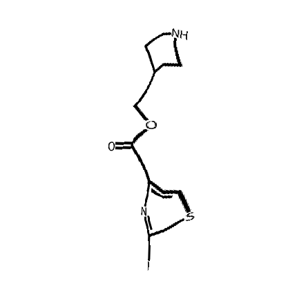 O=C(OCC1CNC1)c1csc(I)n1